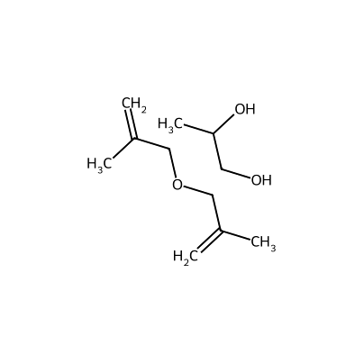 C=C(C)COCC(=C)C.CC(O)CO